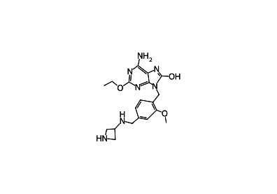 CCOc1nc(N)c2nc(O)n(Cc3ccc(CNC4CNC4)cc3OC)c2n1